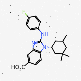 CC1C[C@@H](n2c(Nc3ccc(F)cc3)nc3cc(C(=O)O)ccc32)CC(C)(C)C1